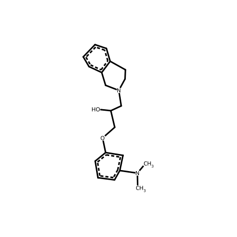 CN(C)c1cccc(OCC(O)CN2CCc3ccccc3C2)c1